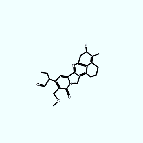 CCC(C=O)c1cc2n(c(=O)c1COC)Cc1c-2nc2c3c1CCCC3=C(C)C(F)C2